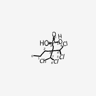 CCCC(C(Cl)Cl)(C(Cl)Cl)P(=O)(O)O